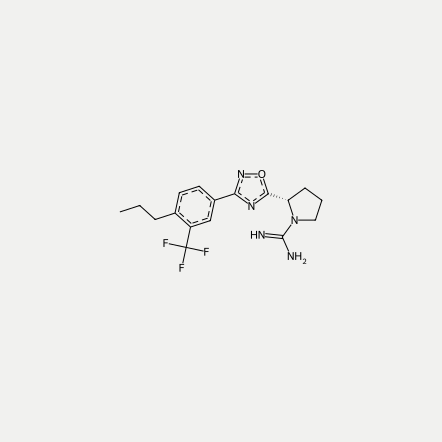 CCCc1ccc(-c2noc([C@@H]3CCCN3C(=N)N)n2)cc1C(F)(F)F